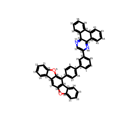 c1cc(-c2ccc(-c3c4oc5ccccc5c4cc4oc5ccccc5c34)cc2)cc(-c2cnc3c4ccccc4c4ccccc4c3n2)c1